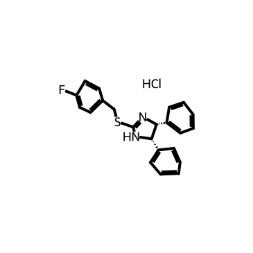 Cl.Fc1ccc(CSC2=N[C@H](c3ccccc3)[C@H](c3ccccc3)N2)cc1